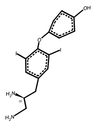 NC[C@@H](N)Cc1cc(I)c(Oc2ccc(O)cc2)c(I)c1